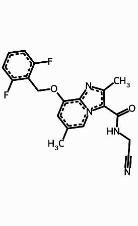 Cc1cc(OCc2c(F)cccc2F)c2nc(C)c(C(=O)NCC#N)n2c1